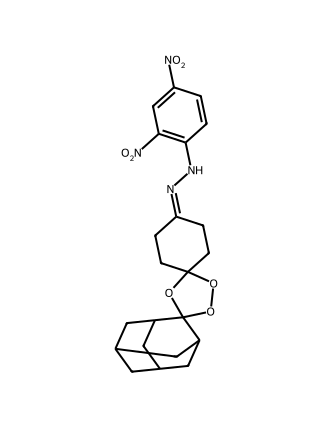 O=[N+]([O-])c1ccc(NN=C2CCC3(CC2)OOC2(O3)C3CC4CC(C3)CC2C4)c([N+](=O)[O-])c1